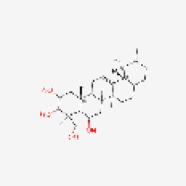 CC1CCC2CCC3(C)C(=CCC4C3(C)CC(O)C3C(C)(CO)C(O)C(O)C[C@@]34C)[C@@H]2[C@@H]1C